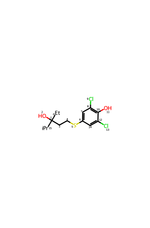 CCC(O)(CCSc1cc(Cl)c(O)c(Cl)c1)C(C)C